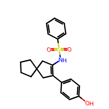 O=S(=O)(NC1=C(c2ccc(O)cc2)CC2(CCCC2)C1)c1ccccc1